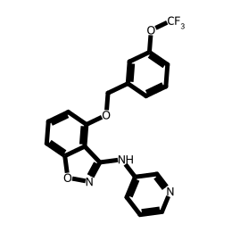 FC(F)(F)Oc1cccc(COc2cccc3onc(Nc4cccnc4)c23)c1